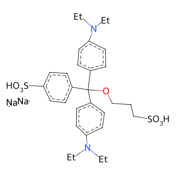 CCN(CC)c1ccc(C(OCCCS(=O)(=O)O)(c2ccc(N(CC)CC)cc2)c2ccc(S(=O)(=O)O)cc2)cc1.[Na].[Na]